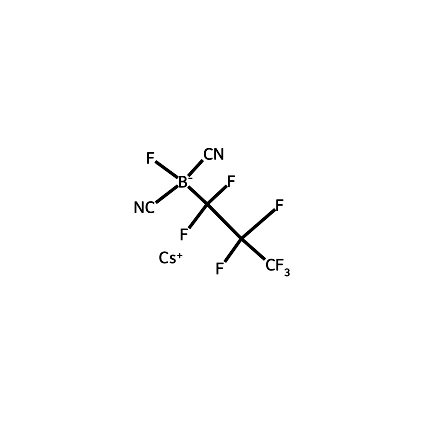 N#C[B-](F)(C#N)C(F)(F)C(F)(F)C(F)(F)F.[Cs+]